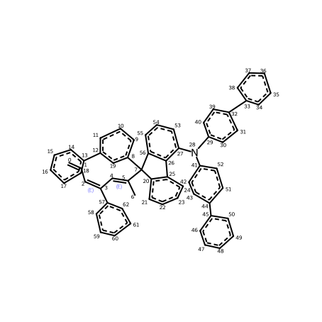 C=C/C=C(\C=C(/C)C1(c2cccc(-c3ccccc3)c2)c2ccccc2-c2c(N(c3ccc(-c4ccccc4)cc3)c3ccc(-c4ccccc4)cc3)cccc21)c1ccccc1